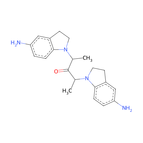 CC(C(=O)C(C)N1CCc2cc(N)ccc21)N1CCc2cc(N)ccc21